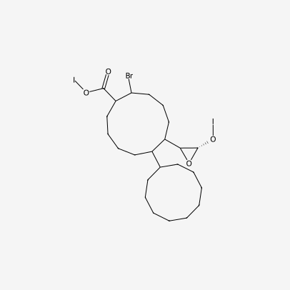 O=C(OI)C1CCCCC(C2CCCCCCCCC2)C(C2O[C@H]2OI)CCCC1Br